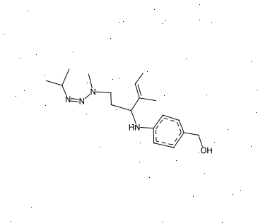 C/C=C(\C)C(CCN(C)/N=N\C(C)C)Nc1ccc(CO)cc1